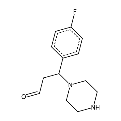 O=CCC(c1ccc(F)cc1)N1CCNCC1